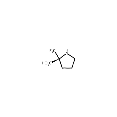 O=C(O)[C@]1(C(F)(F)F)CCCN1